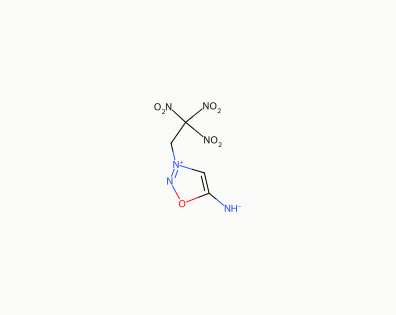 [NH-]c1c[n+](CC([N+](=O)[O-])([N+](=O)[O-])[N+](=O)[O-])no1